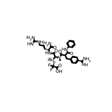 CCC(C)C(C(=O)N[C@@H](CCCNC(=N)N)C(N)=O)N(C)C(=O)C(Cc1ccc(C(=N)N)cc1)C(=O)Nc1ccccc1.O=C(O)C(F)(F)F